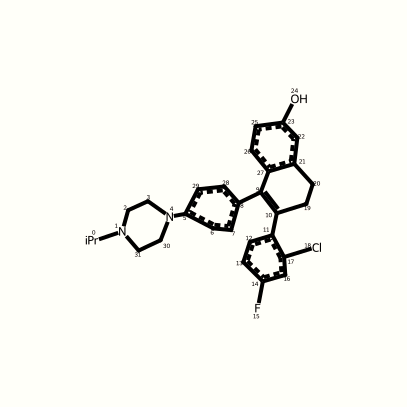 CC(C)N1CCN(c2ccc(C3=C(c4ccc(F)cc4Cl)CCc4cc(O)ccc43)cc2)CC1